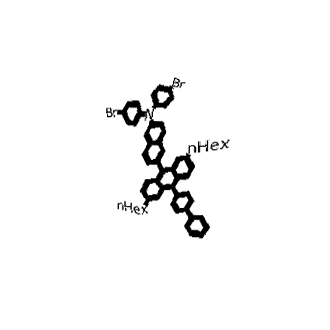 CCCCCCc1ccc2c(-c3ccc4cc(N(c5ccc(Br)cc5)c5ccc(Br)cc5)ccc4c3)c3cc(CCCCCC)ccc3c(-c3ccc(-c4ccccc4)cc3)c2c1